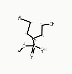 COP(=O)(O)N(CCCl)CCCl